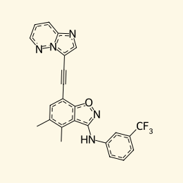 Cc1cc(C#Cc2cnc3cccnn23)c2onc(Nc3cccc(C(F)(F)F)c3)c2c1C